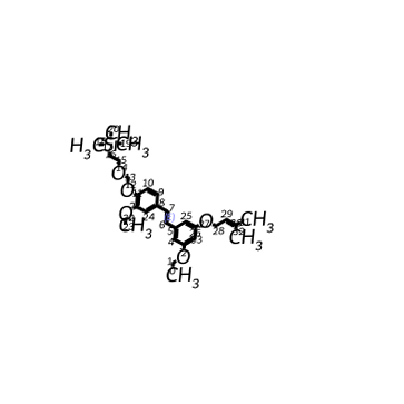 CCOc1cc(/C=C/c2ccc(OCOCC[Si](C)(C)C)c(OC)c2)cc(OCC=C(C)C)c1